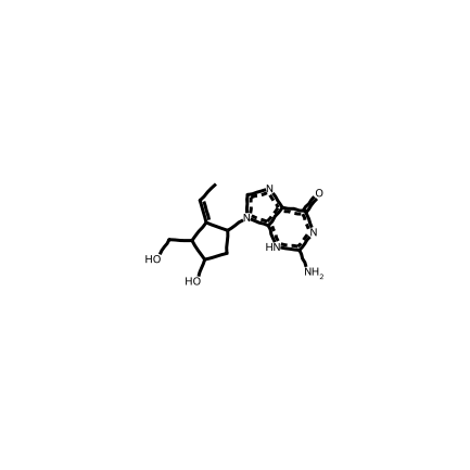 C/C=C1/C(CO)C(O)CC1n1cnc2c(=O)nc(N)[nH]c21